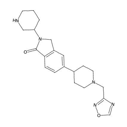 O=C1c2ccc(C3CCN(Cc4ncon4)CC3)cc2CN1C1CCCNC1